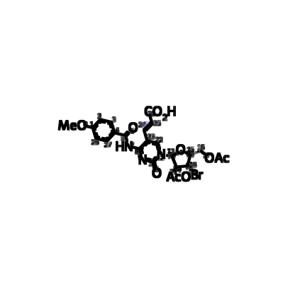 COc1ccc(C(=O)Nc2nc(=O)n([C@@H]3O[C@H](COC(C)=O)[C@H](Br)[C@H]3OC(C)=O)cc2/C=C/C(=O)O)cc1